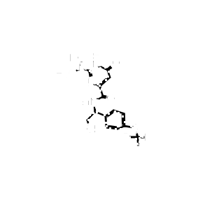 CCC(NC(=O)c1cc(=O)[nH]c(N(C)C)n1)c1ccc(SC(F)(F)F)cc1